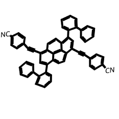 N#Cc1ccc(C#Cc2cc(-c3ccccc3-c3ccccc3)c3ccc4c(C#Cc5ccc(C#N)cc5)cc(-c5ccccc5-c5ccccc5)c5ccc2c3c45)cc1